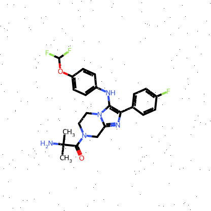 CC(C)(N)C(=O)N1CCn2c(nc(-c3ccc(F)cc3)c2Nc2ccc(OC(F)F)cc2)C1